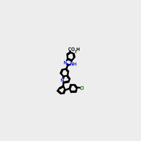 O=C(O)c1ccc2[nH]c(-c3ccc4nc(-c5ccccc5-c5ccc(Cl)cc5)ccc4c3)nc2c1